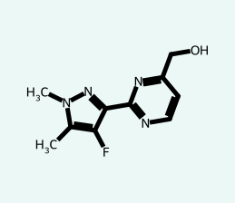 Cc1c(F)c(-c2nccc(CO)n2)nn1C